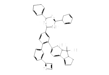 CC1(C)C2CCC=C2C2=CC=C(c3cc(C4NC(C5C=CC=CC5)=NC(C5=CCCC=C5)N4)ccc3-c3cccc(C4=NC=C4)c3)CC21